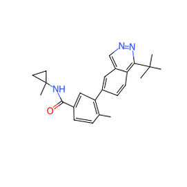 Cc1ccc(C(=O)NC2(C)CC2)cc1-c1ccc2c(C(C)(C)C)nncc2c1